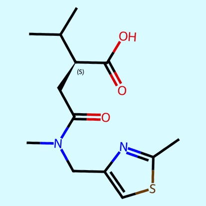 Cc1nc(CN(C)C(=O)C[C@H](C(=O)O)C(C)C)cs1